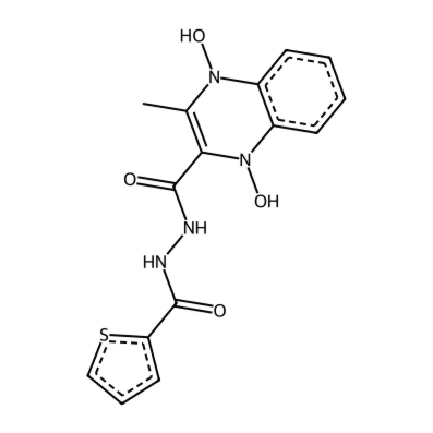 CC1=C(C(=O)NNC(=O)c2cccs2)N(O)c2ccccc2N1O